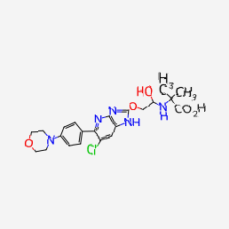 CC(C)(NC(O)COc1nc2nc(-c3ccc(N4CCOCC4)cc3)c(Cl)cc2[nH]1)C(=O)O